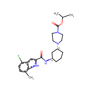 Cc1ccc(F)c2cc(C(=O)N[C@@H]3CCC[C@@H](N4CCN(C(=O)OC(C)C)CC4)C3)[nH]c12